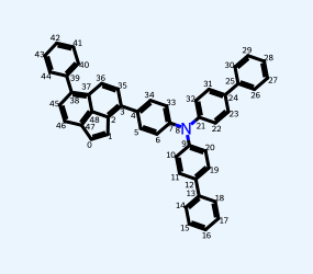 C1=Cc2c(-c3ccc(N(c4ccc(-c5ccccc5)cc4)c4ccc(-c5ccccc5)cc4)cc3)ccc3c(-c4ccccc4)ccc1c23